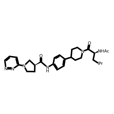 CC(=O)N[C@@H](CC(C)C)C(=O)N1CCC(c2ccc(NC(=O)[C@H]3CCN(c4cccnn4)C3)cc2)CC1